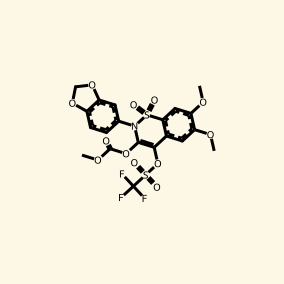 COC(=O)OC1=C(OS(=O)(=O)C(F)(F)F)c2cc(OC)c(OC)cc2S(=O)(=O)N1c1ccc2c(c1)OCO2